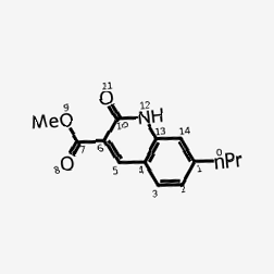 CCCc1ccc2cc(C(=O)OC)c(=O)[nH]c2c1